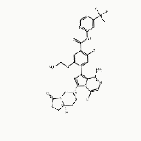 CCOc1cc(C(=O)Nc2cc(C(F)(F)F)ccn2)c(F)cc1-c1nc([C@@H]2CC[C@H]3CCC(=O)N3C2)n2c(Cl)cnc(N)c12